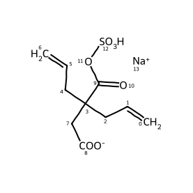 C=CCC(CC=C)(CC(=O)[O-])C(=O)OS(=O)(=O)O.[Na+]